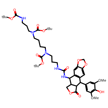 COc1cc(C2c3cc4c(cc3C(NC(=O)NCCCN(CCCCN(CCCNC(=O)OC(C)(C)C)C(=O)OC(C)(C)C)C(=O)OC(C)(C)C)C3COC(=O)C23)OCO4)cc(OC)c1O